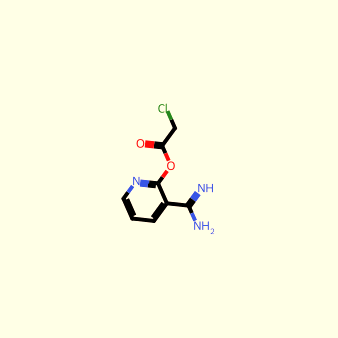 N=C(N)c1cccnc1OC(=O)CCl